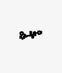 CN(CCCNC(=O)c1ccc(-c2ccncc2)s1)Cc1ccccc1